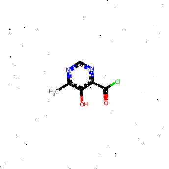 Cc1ncnc(C(=O)Cl)c1O